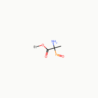 CCOC(=O)C(C)(N)P=O